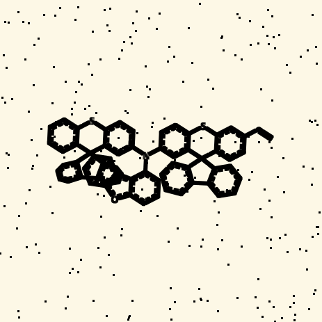 C=Cc1ccc2c(c1)Sc1ccc(N(c3ccc4c(c3)C3(c5ccccc5S4)c4ccccc4-c4ccccc43)c3cccc4oc5ccccc5c34)cc1C21c2ccccc2-c2ccccc21